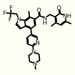 Cc1cc(C)c(CNC(=O)c2cc(-c3ccc(N4CCN(C)CC4)nc3)c3ccn(CC(F)(F)F)c3c2C)c(=O)[nH]1